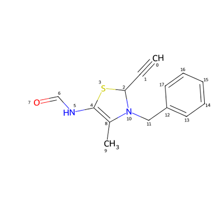 C#CC1SC(NC=O)=C(C)N1Cc1ccccc1